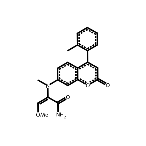 COC=C(C(N)=O)N(C)c1ccc2c(-c3ccccc3C)cc(=O)oc2c1